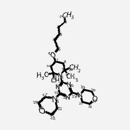 CCCCCCOC1CC(C)(C)N(c2nc(N3CCOCC3)nc(N3CCOCC3)n2)C(C)(C)C1